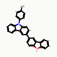 N#Cc1ccc(-n2c3ccccc3c3cc(-c4ccc5oc6ccccc6c5c4)ccc32)cc1